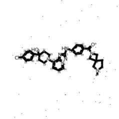 CN1CCC2(C1)CN(C(=O)c1ccc(Nc3nc4c(N5CCC(O)(c6ccc(Cl)cc6)CC5)cccn4n3)cc1)C2